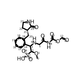 COC(C(NCC(=O)NC(=O)OC=O)c1ccccc1C[C@H]1CCNC1=O)S(=O)(=O)O